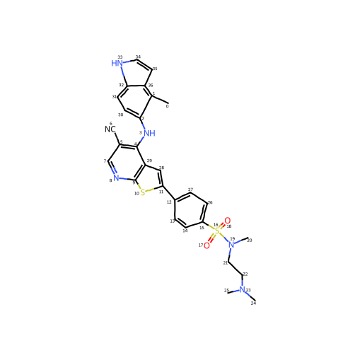 Cc1c(Nc2c(C#N)cnc3sc(-c4ccc(S(=O)(=O)N(C)CCN(C)C)cc4)cc23)ccc2[nH]ccc12